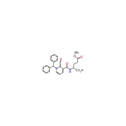 CC(C)(C)OC(=O)CCC(NC(=O)C1=CC=CN(C(c2ccccc2)c2ccccc2)C1=C=O)C(=O)O